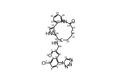 O=C/C(=C\c1cc(Cl)ccc1-n1cnnn1)CN[C@H]1CCCCCC(=O)Nc2ccccc2-c2c[nH]c1n2